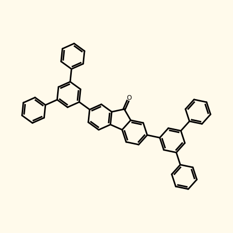 O=C1c2cc(-c3cc(-c4ccccc4)cc(-c4ccccc4)c3)ccc2-c2ccc(-c3cc(-c4ccccc4)cc(-c4ccccc4)c3)cc21